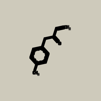 C=CC(=O)Cc1ccc(C)cc1